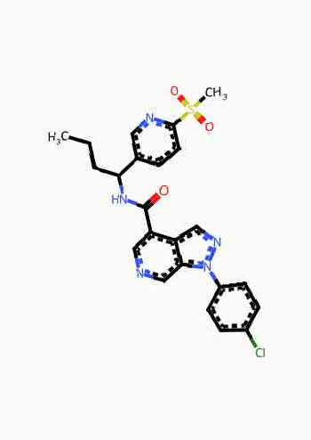 CCCC(NC(=O)c1cncc2c1cnn2-c1ccc(Cl)cc1)c1ccc(S(C)(=O)=O)nc1